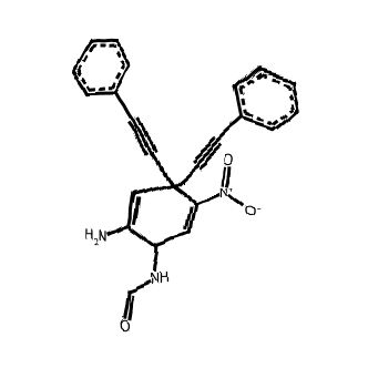 NC1=CC(C#Cc2ccccc2)(C#Cc2ccccc2)C([N+](=O)[O-])=CC1NC=O